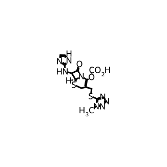 Cn1nnnc1SCC1=C(OC(=O)O)N2C(=O)C(Nc3ncc[nH]3)[C@@H]2SC1